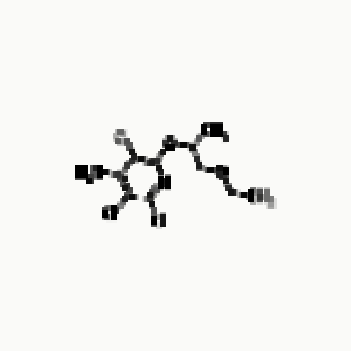 CCOCC(C)Oc1nc(Cl)c(Cl)c(N)c1Cl